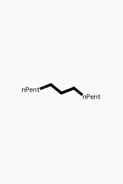 [CH2]CCCCCC[CH]CCCCC